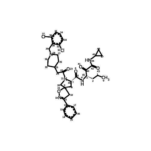 CCC[C@H](NC(=O)[C@@H]1C[C@]2(CC(c3ccccc3)=NO2)CN1C(=O)CC1CCN(Cc2c(Cl)cccc2Cl)CC1)C(=O)C(=O)NC1CC1